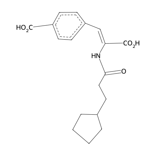 O=C(CCC1CCCC1)NC(=Cc1ccc(C(=O)O)cc1)C(=O)O